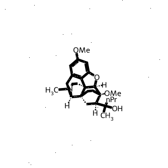 CCCC(C)(O)[C@H]1C[C@@]23CC[C@@]1(OC)[C@@H]1Oc4cc(OC)cc5c4[C@@]12CCN(C)[C@@H]3C5